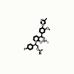 COc1cc(/C(=N/N)c2cccn(C(CO[SiH](C)C)c3ccc(F)cc3)c2=O)ccc1-n1cnc(C)c1